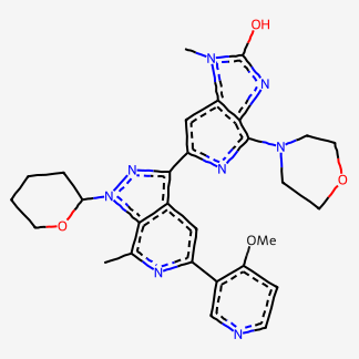 COc1ccncc1-c1cc2c(-c3cc4c(nc(O)n4C)c(N4CCOCC4)n3)nn(C3CCCCO3)c2c(C)n1